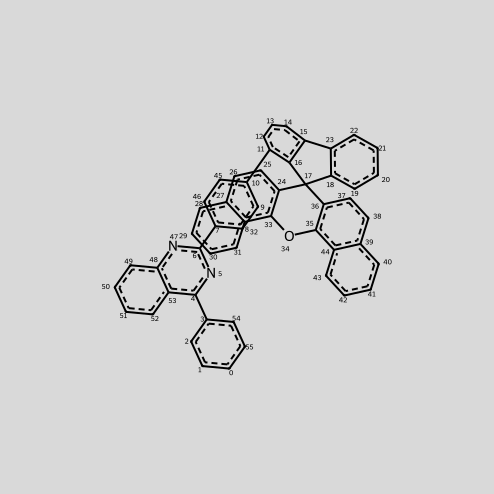 c1ccc(-c2nc(-c3ccc(-c4cccc5c4C4(c6ccccc6-5)c5ccc6ccccc6c5Oc5c4ccc4ccccc54)cc3)nc3ccccc23)cc1